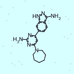 Nc1nc(-c2ccc3c(N)n[nH]c3c2)cc(N2CCCCCC2)n1